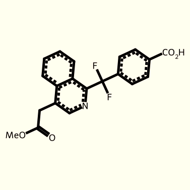 COC(=O)Cc1cnc(C(F)(F)c2ccc(C(=O)O)cc2)c2ccccc12